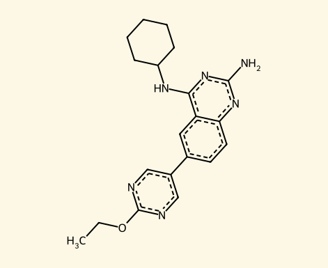 CCOc1ncc(-c2ccc3nc(N)nc(NC4CCCCC4)c3c2)cn1